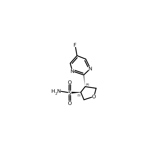 NS(=O)(=O)[C@@H]1COC[C@H]1c1ncc(F)cn1